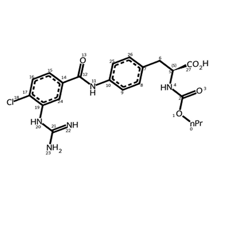 CCCOC(=O)N[C@@H](Cc1ccc(NC(=O)c2ccc(Cl)c(NC(=N)N)c2)cc1)C(=O)O